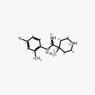 Cc1cc(F)ccc1NC(=N)C1(C)CCNCC1